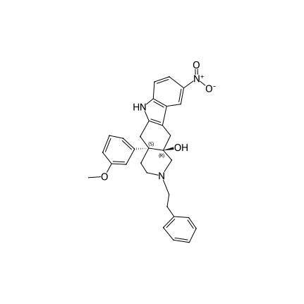 COc1cccc([C@@]23CCN(CCc4ccccc4)C[C@@]2(O)Cc2c([nH]c4ccc([N+](=O)[O-])cc24)C3)c1